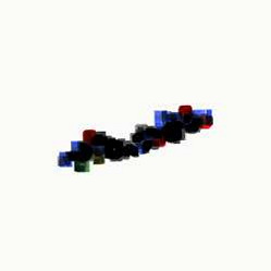 C[C@@H]1CN(CCC[C@H]2CC[C@H](N3C(=S)N(c4cnc(C#N)c(Cl)c4)C(=O)C3(C)C)CC2)C[C@H](C)N1CC(=O)Nc1cccc2c(N3CCC(=O)NC3=O)nn(C)c12